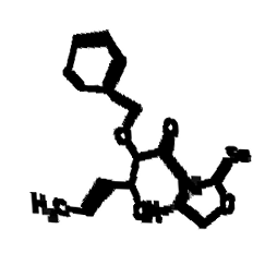 CC=CC(O)C(OCc1ccccc1)C(=O)N1C(=[Se])OC[C@@H]1C(C)C